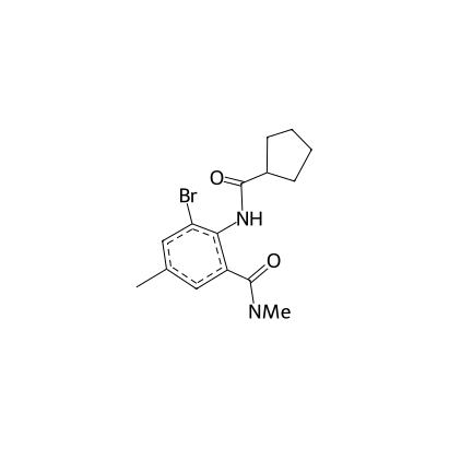 CNC(=O)c1cc(C)cc(Br)c1NC(=O)C1CCCC1